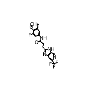 COc1c(F)cc(NC(=O)CSc2nc3cc(C(F)(F)F)ncc3[nH]2)cc1F